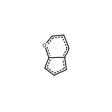 [c]1cc2cccoc-2c1